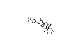 C=CCN1CC[C@@]23c4c5ccc(O)c4C[C@@H]1[C@@H]2CC[C@H](N(CC(C)C)C(=O)C#Cc1ccc(C(F)(F)F)cc1)[C@@H]3O5